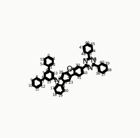 c1ccc(-c2cc(-c3ccccc3)cc(-n3c4ccccc4c4cc5c(cc43)oc3cc(-c4nc(-c6ccccc6)nc(-c6ccccc6)n4)ccc35)c2)cc1